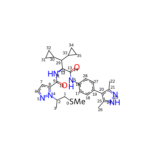 CSCC(C)n1nccc1C(=O)N[C@H](C(=O)Nc1ccc(-c2c(C)n[nH]c2C)cc1)C(C1CC1)C1CC1